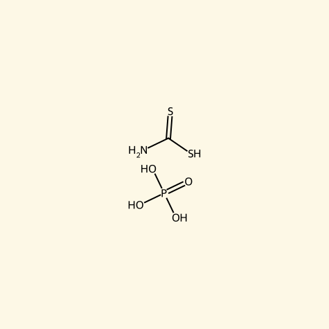 NC(=S)S.O=P(O)(O)O